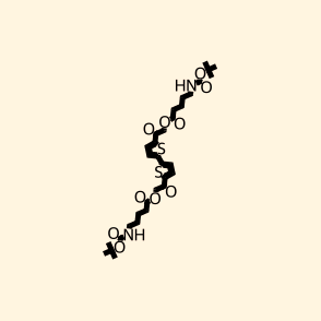 CC(C)(C)OC(=O)NCCCCC(=O)OCC(=O)c1ccc(-c2ccc(C(=O)COC(=O)CCCCNC(=O)OC(C)(C)C)s2)s1